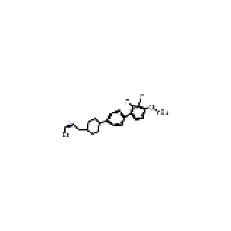 CC/C=C\CC1CCC(c2ccc(-c3ccc(OCCCC)c(F)c3F)cc2)CC1